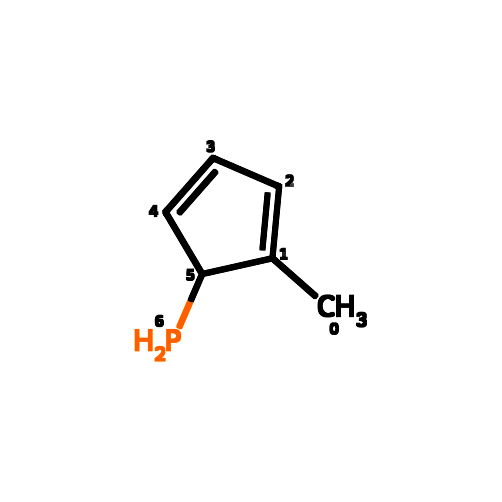 CC1=CC=CC1P